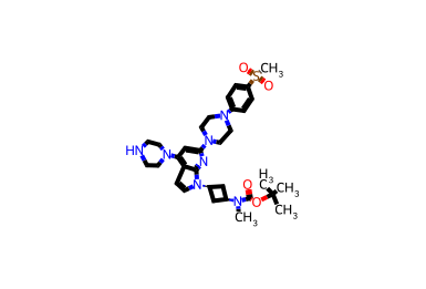 CN(C(=O)OC(C)(C)C)[C@H]1C[C@H](n2ccc3c(N4CCNCC4)cc(N4CCN(c5ccc(S(C)(=O)=O)cc5)CC4)nc32)C1